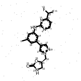 Cc1cc(Nc2nccc(C(F)F)n2)cc(-c2cnn(C[C@H]3CNC(=O)O3)c2)c1